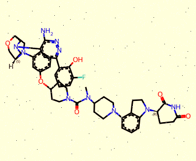 CN(C(=O)N1CCC(Oc2cccc(N3CC4CN(c5cc(-c6cccc(F)c6O)nnc5N)C[C@H]3CO4)c2)CC1)C1CCN(c2cccc3c2CCN3[C@@H]2CCC(=O)NC2=O)CC1